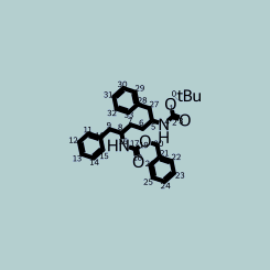 CC(C)(C)OC(=O)NC(CCC(Cc1ccccc1)NC(=O)OCc1ccccc1)Cc1ccccc1